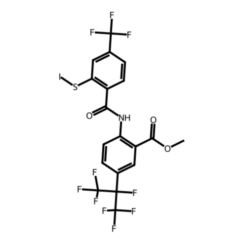 COC(=O)c1cc(C(F)(C(F)(F)F)C(F)(F)F)ccc1NC(=O)c1ccc(C(F)(F)F)cc1SI